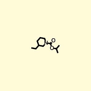 CCC1CCCN(C(=O)OC(C)C)C1